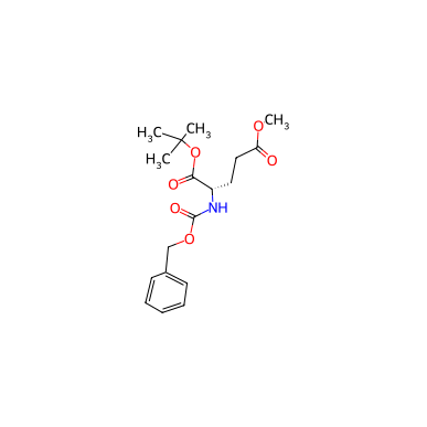 COC(=O)CC[C@H](NC(=O)OCc1ccccc1)C(=O)OC(C)(C)C